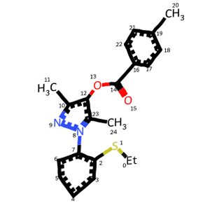 CCSc1ccccc1-n1nc(C)c(OC(=O)c2ccc(C)cc2)c1C